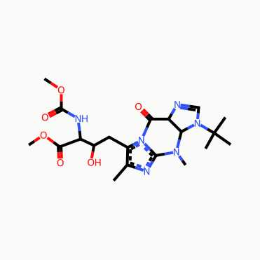 COC(=O)NC(C(=O)OC)C(O)Cc1c(C)nc2n1C(=O)C1N=CN(C(C)(C)C)C1N2C